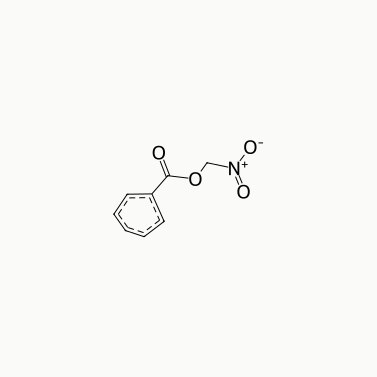 O=C(OC[N+](=O)[O-])c1ccccc1